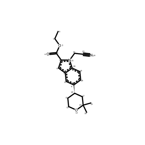 CCOC(=O)c1cc2cc([C@H]3CCOC(C)(C)C3)ccc2n1CC#N